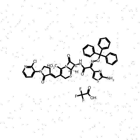 Nc1nc(C(=NOC(c2ccccc2)(c2ccccc2)c2ccccc2)C(=O)N[C@@H]2C(=O)N3C(C(=O)O)=C(C=C4CCN(c5cccnc5Cl)C4=O)CS[C@H]23)cs1.O=C(O)C(F)(F)F